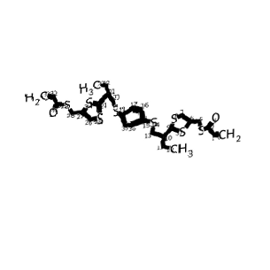 C=CC(=O)SCC1CSC(C(CC)CSc2ccc(SCC(CC)C3SCC(CSC(=O)C=C)S3)cc2)S1